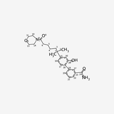 CC(C)(CCCCC(=O)N1CCOCC1)c1ccc(-c2cccc(C(N)=O)c2)c(O)c1